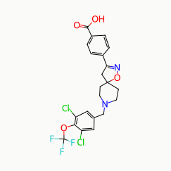 O=C(O)c1ccc(C2=NOC3(CCN(Cc4cc(Cl)c(OC(F)(F)F)c(Cl)c4)CC3)C2)cc1